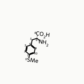 CSc1ccc(C[C@@H](N)C(=O)O)cc1